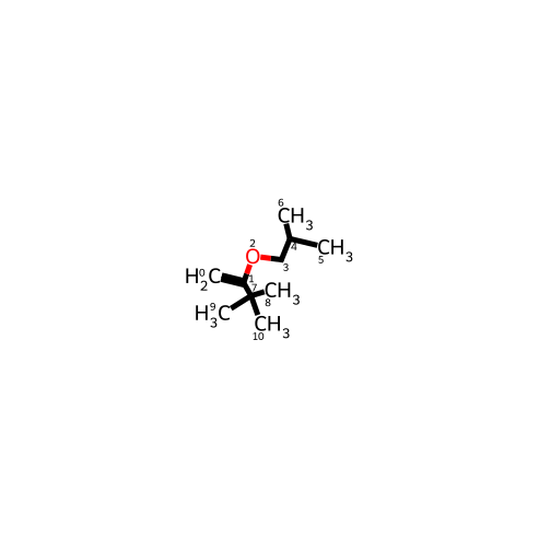 C=C(OCC(C)C)C(C)(C)C